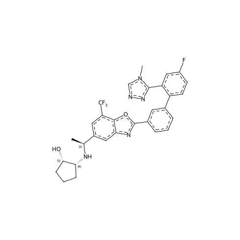 C[C@H](N[C@@H]1CCC[C@@H]1O)c1cc(C(F)(F)F)c2oc(-c3cccc(-c4ccc(F)cc4-c4nncn4C)c3)nc2c1